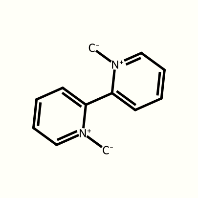 [CH2-][n+]1ccccc1-c1cccc[n+]1[CH2-]